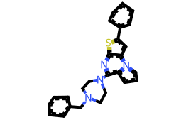 c1ccc(CN2CCN(c3nc4sc(-c5ccccc5)cc4n4cccc34)CC2)cc1